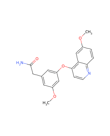 COc1cc(CC(N)=O)cc(Oc2ccnc3ccc(OC)cc23)c1